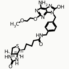 COCCOc1nc(N)c2nc(O)n(Cc3ccc(CNC(=O)CCCC[C@@H]4SC[C@@H]5NC(=O)N[C@@H]54)cc3)c2n1